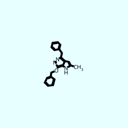 Cc1cc2c(Cc3ccccc3)nnc(OCc3ccccc3)c2[nH]1